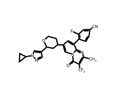 Cc1nc2c(-c3ccc(C#N)cc3F)cc(C3CCOC(c4cnn(C5CC5)c4)C3)cn2c(=O)c1C(F)(F)F